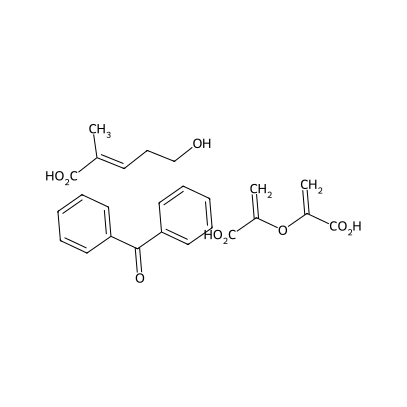 C/C(=C\CCO)C(=O)O.C=C(OC(=C)C(=O)O)C(=O)O.O=C(c1ccccc1)c1ccccc1